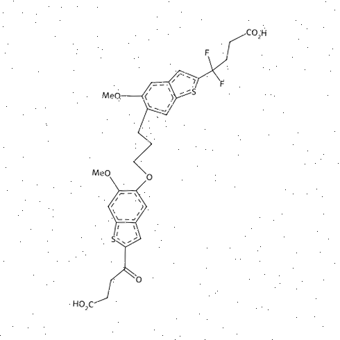 COc1cc2cc(C(F)(F)CCC(=O)O)sc2cc1CCCOc1cc2cc(C(=O)CCC(=O)O)sc2cc1OC